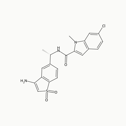 C[C@H](NC(=O)c1cc2ccc(Cl)cc2n1C)c1ccc2c(c1)C(N)=CS2(=O)=O